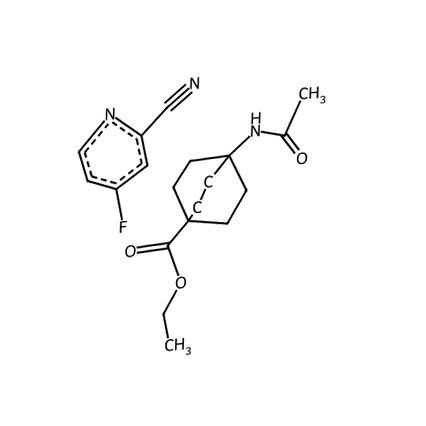 CCOC(=O)C12CCC(NC(C)=O)(CC1)CC2.N#Cc1cc(F)ccn1